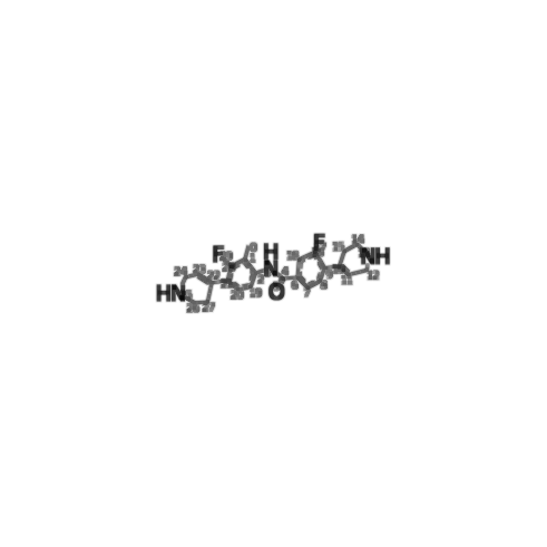 Cc1c(NC(=O)c2ccc(C3=CCNCC3)c(F)c2)ccc(C2=CCNCC2)c1F